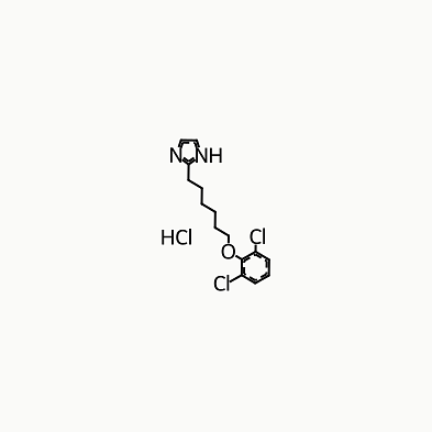 Cl.Clc1cccc(Cl)c1OCCCCCCc1ncc[nH]1